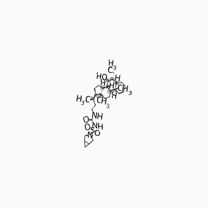 CC[C@H]1[C@@H](O)[C@@H]2[C@H](CC[C@]3(C)[C@@H]([C@H](C)CCNC(=O)NS(=O)(=O)N4CC5CC5C4)CC[C@@H]23)[C@@]2(C)CCCC[C@@H]12